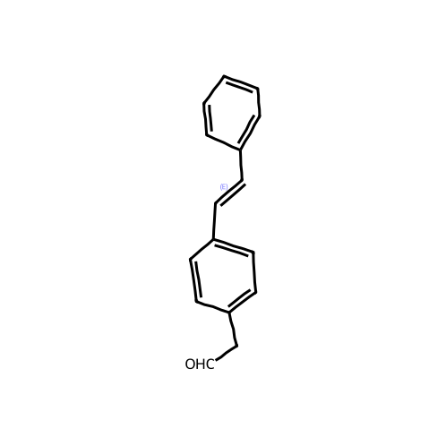 O=CCc1ccc(/C=C/c2ccccc2)cc1